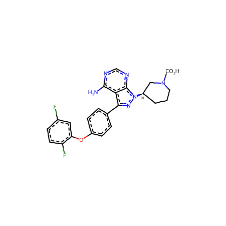 Nc1ncnc2c1c(-c1ccc(Oc3cc(F)ccc3F)cc1)nn2[C@@H]1CCCN(C(=O)O)C1